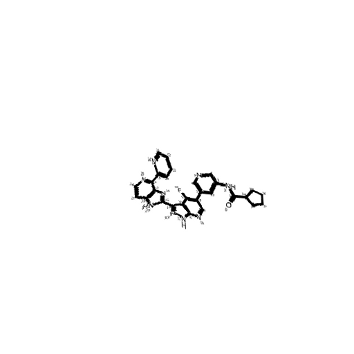 O=C(Nc1cncc(-c2cnc3[nH]nc(-c4nc5c(-c6ccccn6)nccc5[nH]4)c3c2F)c1)C1CCCC1